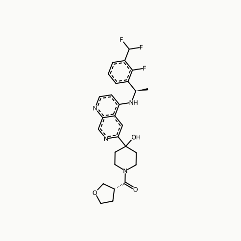 C[C@@H](Nc1ccnc2cnc(C3(O)CCN(C(=O)[C@@H]4CCOC4)CC3)cc12)c1cccc(C(F)F)c1F